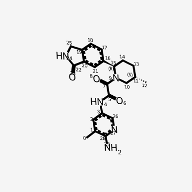 Cc1cc(NC(=O)C(=O)N2C[C@@H](C)CC[C@@H]2c2ccc3c(c2)C(=O)NC3)cnc1N